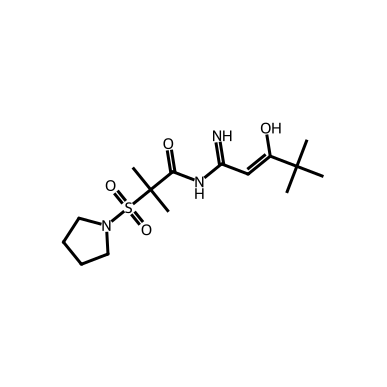 CC(C)(C)/C(O)=C/C(=N)NC(=O)C(C)(C)S(=O)(=O)N1CCCC1